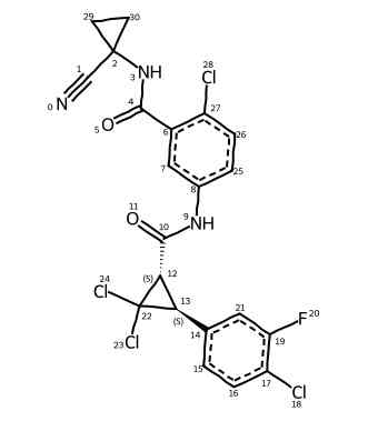 N#CC1(NC(=O)c2cc(NC(=O)[C@@H]3[C@@H](c4ccc(Cl)c(F)c4)C3(Cl)Cl)ccc2Cl)CC1